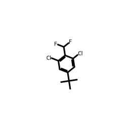 CC(C)(C)c1cc(Cl)c(C(F)F)c(Cl)c1